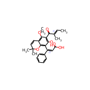 C/C=C(\C)C(=O)c1c(O)c(/C(=C\C(=O)O)c2ccccc2)c2c(c1OC)C=CC(C)(C)O2